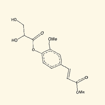 COC(=O)C=Cc1ccc(OC(=O)C(O)CO)c(OC)c1